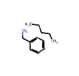 CCCCC.NCc1ccccc1